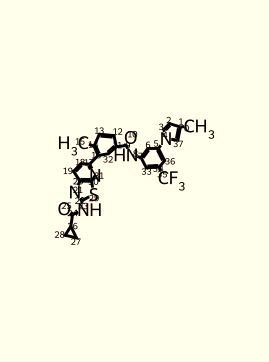 Cc1ccn(-c2cc(NC(=O)c3ccc(C)c(-c4ccc5nc(NC(=O)C6CC6)sc5n4)c3)cc(C(F)(F)F)c2)c1